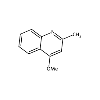 [CH2]Oc1cc(C)nc2ccccc12